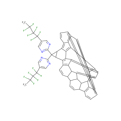 FC(F)(F)C(F)(F)C(F)(F)C(F)(F)c1cnc(C2(c3ncc(C(F)(F)C(F)(F)C(F)(F)C(F)(F)F)cn3)C3c4c5c6c7c4c4c(c8ccc9c%10ccc%11c%12c%13c%14c(c7c7c%14c(c%12%10)c9c8c47)=C4C6C(C=C5)C5C=CC%11C%13C45)C32)nc1